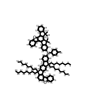 CCCCCCCCC1(CCCCCCCC)c2cc(N(c3ccc(C)cc3)c3ccc4c(c3)C(C)(C)c3c5c(c6oc7ccccc7c6c3-4)-c3ccccc3C5(C)C)ccc2-c2cc3c(cc21)-c1c(ccc2oc4ccccc4c12)C3(CCCCCCCC)CCCCCCCC